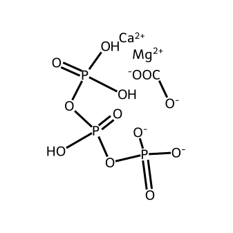 O=C([O-])[O-].O=P([O-])([O-])OP(=O)(O)OP(=O)(O)O.[Ca+2].[Mg+2]